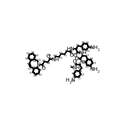 CNC(=O)C(Cc1ccc(N)cc1)NC(=O)C(Cc1ccc(N)cc1)NC(=O)C(Cc1ccc(N)cc1)NC(=O)CCCCCNC(=O)CCC(=O)N1Cc2ccccc2C#Cc2ccccc21